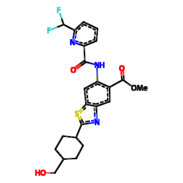 COC(=O)c1cc2nc(C3CCC(CO)CC3)sc2cc1NC(=O)c1cccc(C(F)F)n1